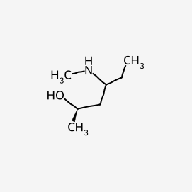 CCC(C[C@@H](C)O)NC